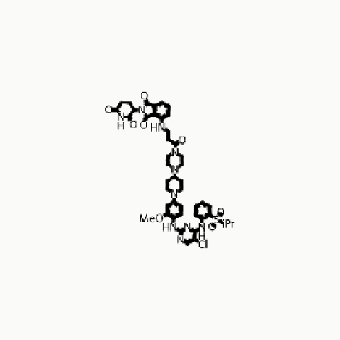 COc1cc(N2CCC(N3CCN(C(=O)CCNc4cccc5c4C(=O)N(C4CCC(=O)NC4=O)C5=O)CC3)CC2)ccc1Nc1ncc(Cl)c(Nc2ccccc2S(=O)(=O)C(C)C)n1